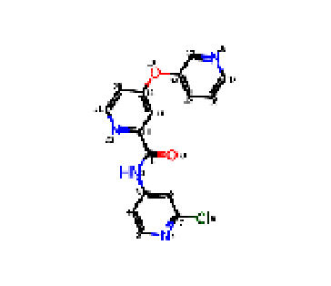 O=C(Nc1ccnc(Cl)c1)c1cc(Oc2cccnc2)ccn1